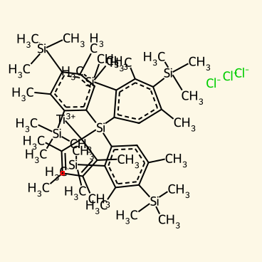 CC1=C(C)[C]([Ti+3])([Si](c2cc(C)c([Si](C)(C)C)c(C)c2[Si](C)(C)C)(c2cc(C)c([Si](C)(C)C)c(C)c2[Si](C)(C)C)c2cc(C)c([Si](C)(C)C)c(C)c2[Si](C)(C)C)C(C)=C1C.[Cl-].[Cl-].[Cl-]